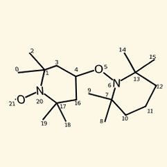 CC1(C)CC(ON2C(C)(C)CCCC2(C)C)CC(C)(C)N1[O]